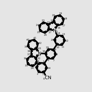 N#Cc1cccc(-c2ccc(-c3cccc(-n4c5ccccc5c5ccccc54)c3)cc2-n2c3ccccc3c3ccccc32)c1